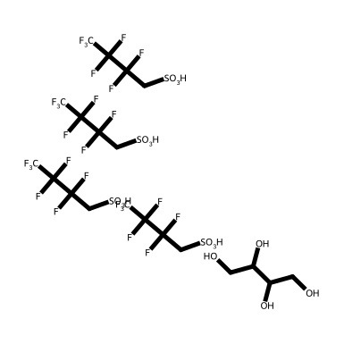 O=S(=O)(O)CC(F)(F)C(F)(F)C(F)(F)F.O=S(=O)(O)CC(F)(F)C(F)(F)C(F)(F)F.O=S(=O)(O)CC(F)(F)C(F)(F)C(F)(F)F.O=S(=O)(O)CC(F)(F)C(F)(F)C(F)(F)F.OCC(O)C(O)CO